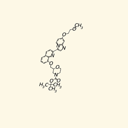 COCCOc1ccn2c(-c3ccc4cccc(OCC5CN(C(=O)OC(C)(C)C)CCO5)c4n3)cnc2c1